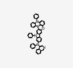 c1ccc(N2c3ccccc3B3c4cc5c(cc4Oc4cccc2c43)c2ccc(N(c3ccccc3)c3cncc4ccccc34)cc2n5-c2ccccc2)cc1